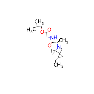 CCC1CC12CN([C@H](C)C(=O)NCC(=O)OCC(C)C)C21CC1